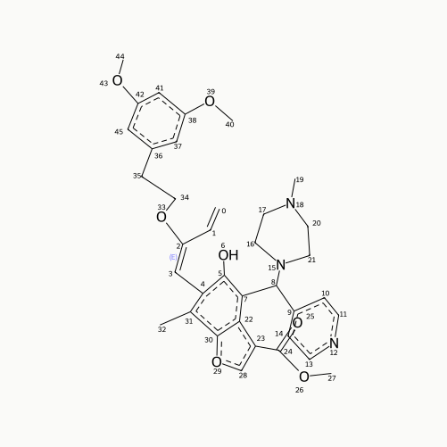 C=C/C(=C\c1c(O)c(C(c2ccncc2)N2CCN(C)CC2)c2c(C(=O)OC)coc2c1C)OCCc1cc(OC)cc(OC)c1